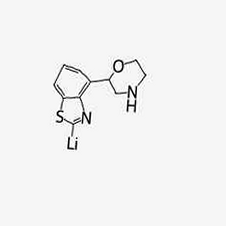 [Li][c]1nc2c(C3CNCCO3)cccc2s1